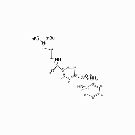 CCCCN(CCCC)CCCNC(=O)c1ccc(C(=O)Nc2ccccc2N)nc1